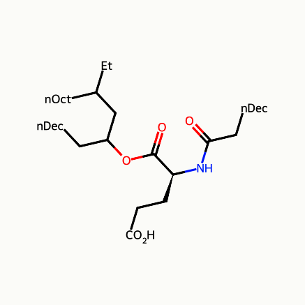 CCCCCCCCCCCC(=O)N[C@@H](CCC(=O)O)C(=O)OC(CCCCCCCCCCC)CC(CC)CCCCCCCC